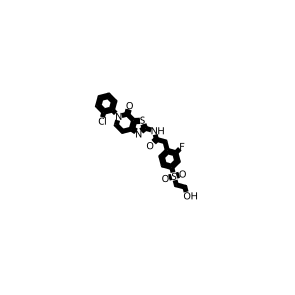 O=C(Cc1ccc(S(=O)(=O)CCO)cc1F)Nc1nc2c(s1)C(=O)N(c1ccccc1Cl)CC2